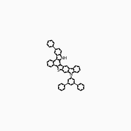 c1ccc(-c2cc(-c3ccccc3)cc(-n3c4ccccc4c4cc5c(cc43)sc3c4ccccc4c4c6cc(-c7ccccc7)ccc6[nH]c4c53)c2)cc1